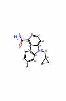 Cc1c[c]c2c3c(C(N)=O)cccc3n(CC3CC3)c2c1